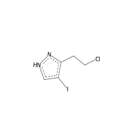 ClCCc1n[nH]cc1I